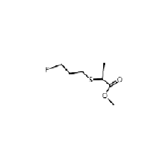 COC(=O)C(C)SCCCF